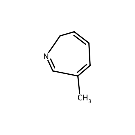 CC1=CC=CCN=C1